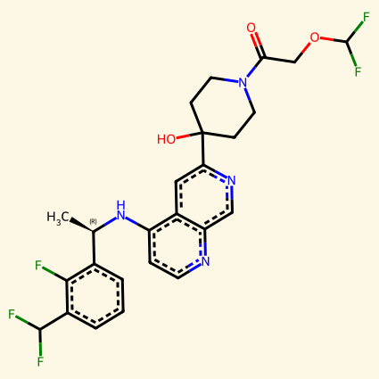 C[C@@H](Nc1ccnc2cnc(C3(O)CCN(C(=O)COC(F)F)CC3)cc12)c1cccc(C(F)F)c1F